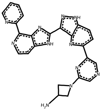 NC1CN(c2cncc(-c3ccc4[nH]nc(-c5nc6c(-c7ccccn7)nccc6[nH]5)c4n3)n2)C1